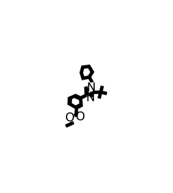 CCOC(=O)c1cccc(-c2cn(CC3CCCCC3)c(C(C)(C)C)n2)c1